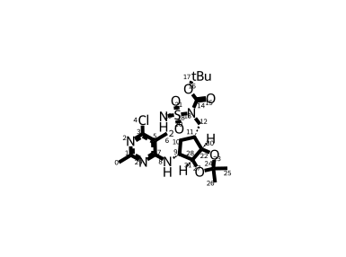 Cc1nc(Cl)c(C)c(N[C@@H]2C[C@H](CN(C(=O)OC(C)(C)C)S(N)(=O)=O)[C@H]3OC(C)(C)O[C@H]32)n1